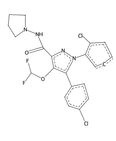 O=C(NN1CCCC1)c1nn(-c2ccccc2Cl)c(-c2ccc(Cl)cc2)c1OC(F)F